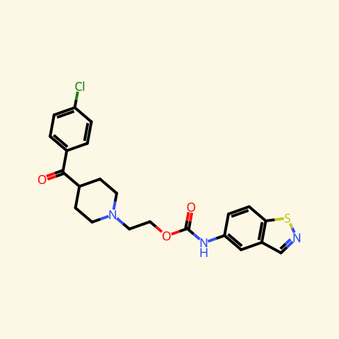 O=C(Nc1ccc2sncc2c1)OCCN1CCC(C(=O)c2ccc(Cl)cc2)CC1